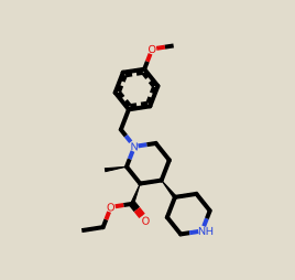 CCOC(=O)[C@H]1[C@@H](C)N(Cc2ccc(OC)cc2)CC[C@H]1C1CCNCC1